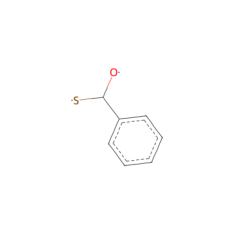 [O]C([S])c1ccccc1